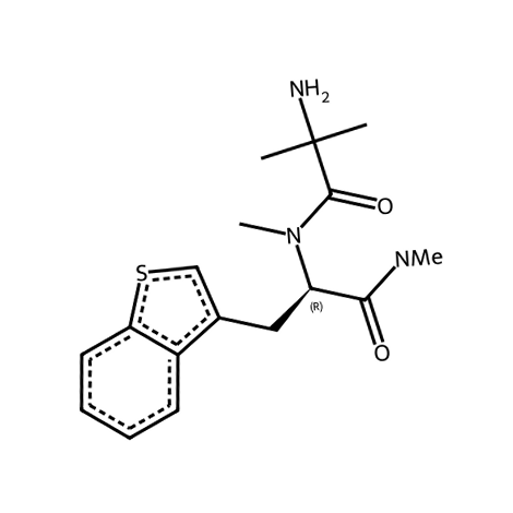 CNC(=O)[C@@H](Cc1csc2ccccc12)N(C)C(=O)C(C)(C)N